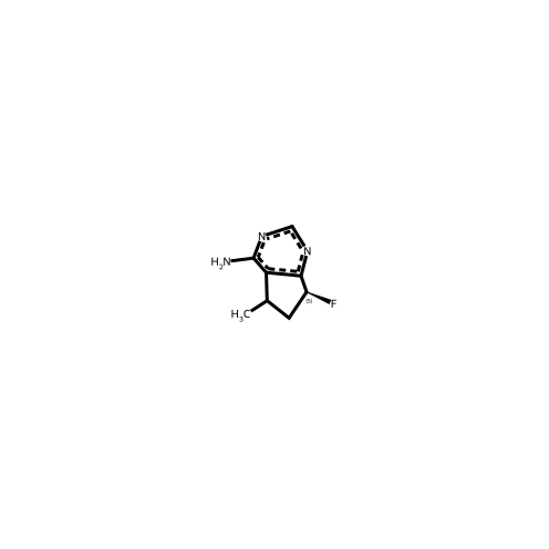 CC1C[C@H](F)c2ncnc(N)c21